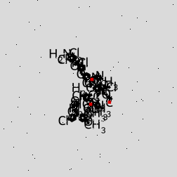 C/C=C\COCN(C(=O)CCl)c1c(CC)cccc1CC.CC(C)(C)C(O)/C(=C\c1ccc(Cl)cc1Cl)n1cncn1.CC1COC(Cn2cncn2)(c2ccc(Oc3ccc(Cl)cc3)cc2Cl)O1.COc1ccc(/C(=C/C(=O)N2CCOCC2)c2ccc(Cl)cc2)cc1OC.Nc1c(Cl)cc([N+](=O)[O-])cc1Cl